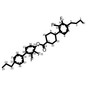 CCCCc1ccc(C2CCC(C(=O)Oc3ccc(-c4ccc(CCC)cc4)c(F)c3F)CC2)c(F)c1F